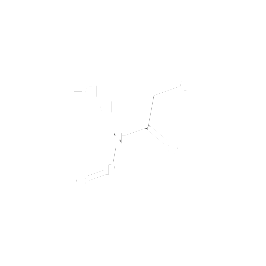 Cl.Cl.O=PNC(=O)CCl